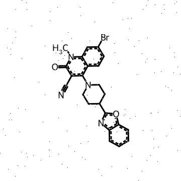 Cn1c(=O)c(C#N)c(N2CCC(c3nc4ccccc4o3)CC2)c2ccc(Br)cc21